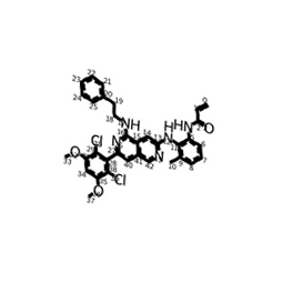 C=CC(=O)Nc1cccc(C)c1Nc1cc2c(NCCc3ccccc3)nc(-c3c(Cl)c(OC)cc(OC)c3Cl)cc2cn1